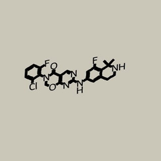 CC1(C)NCCc2cc(Nc3ncc4c(n3)OCN(c3c(F)cccc3Cl)C4=O)cc(F)c21